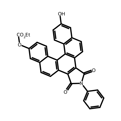 CCOC(=O)Oc1ccc2c(ccc3c4c(c5ccc6cc(O)ccc6c5c32)C(=O)N(c2ccccc2)C4=O)c1